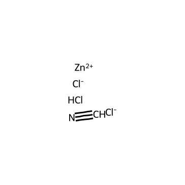 C#N.Cl.[Cl-].[Cl-].[Zn+2]